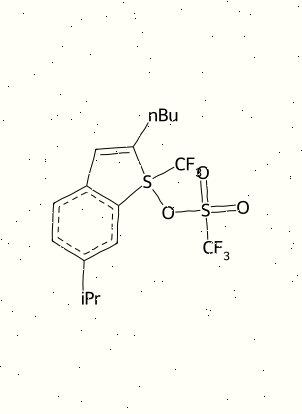 CCCCC1=Cc2ccc(C(C)C)cc2S1(OS(=O)(=O)C(F)(F)F)C(F)(F)F